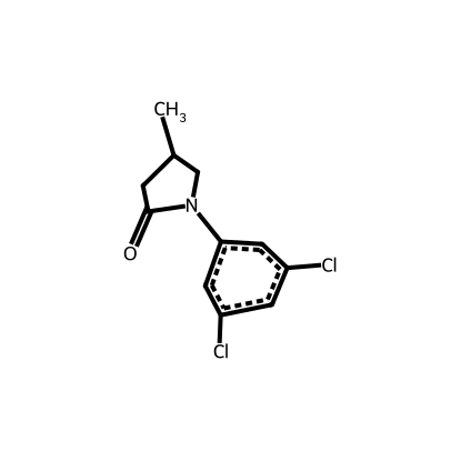 CC1CC(=O)N(c2cc(Cl)cc(Cl)c2)C1